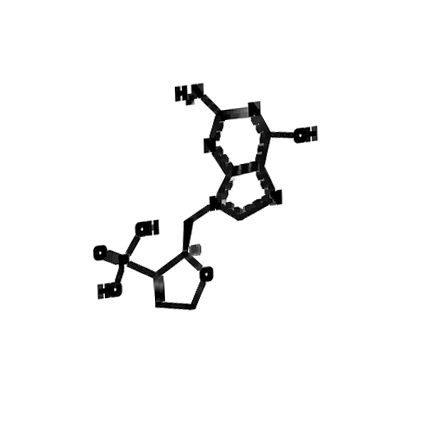 Nc1nc(O)c2ncn(C[C@H]3OCC=C3P(=O)(O)O)c2n1